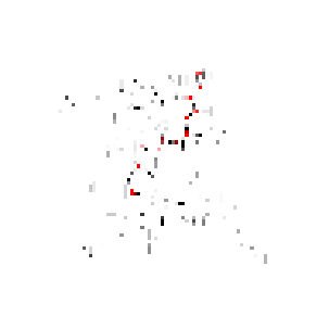 CC(C)C[C@@H](NC(=O)[C@H](N)CCCCN)C(=O)N[C@H](C)C(=O)N[C@H](CCCCN)C(=O)N[C@H](CC(C)C)C(=O)N[C@H](C)C(=O)N[C@H](CCCCN)C(=O)N[C@H](CCCCN)C(=O)N[C@H](CC(C)C)C(=O)N[C@H](C)C(=O)N[C@H](CCCCN)C(=O)N[C@H](CC(C)C)C(=O)N[C@H](C)C(=O)N[C@H](CCCCN)C(=O)O